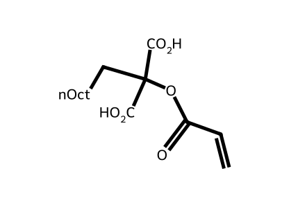 C=CC(=O)OC(CCCCCCCCC)(C(=O)O)C(=O)O